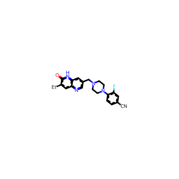 CCc1cc2ncc(CN3CCN(c4ccc(C#N)cc4F)CC3)cc2[nH]c1=O